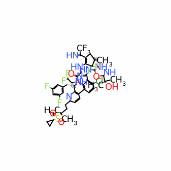 C[C@@H]1CC(C(=N)C(F)(F)F)=C(NCC(=O)N[C@@H](Cc2cc(F)cc(F)c2)c2nc(CCC(C)(C)S(=O)(=O)C3CC3)ccc2-c2ccc(Cl)c3c(NC(=N)OC(=N)C(C)(C)O)nn(CC(F)F)c23)C1(F)F